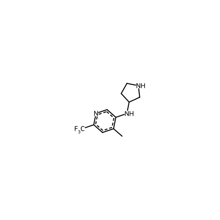 Cc1cc(C(F)(F)F)ncc1NC1CCNC1